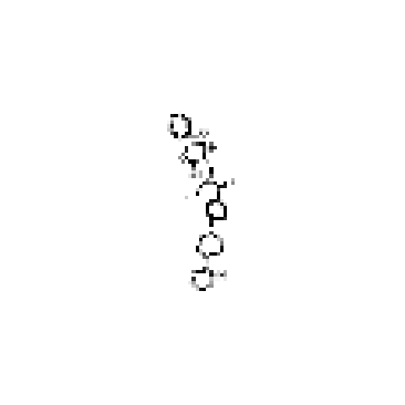 CCCN(C[C@H](NS(=O)(=O)c1ccccc1)C(=O)O)C(=O)c1ccc(N2CCN(C3=NCCCN3)CC2)cc1